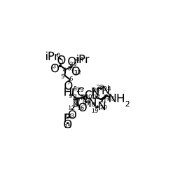 CC(C)OC(=O)C(CCOCC[C@@H]1[C@@H](COP=O)O[C@@H](n2cnc3c(N)ncnc32)[C@]1(C)Cl)C(=O)OC(C)C